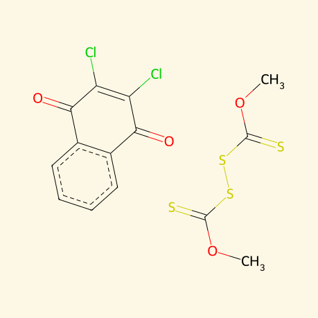 COC(=S)SSC(=S)OC.O=C1C(Cl)=C(Cl)C(=O)c2ccccc21